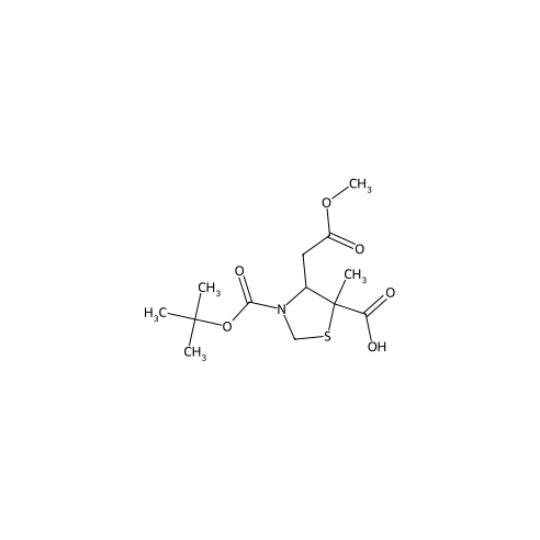 COC(=O)CC1N(C(=O)OC(C)(C)C)CSC1(C)C(=O)O